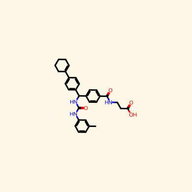 Cc1cccc(NC(=O)NC(c2ccc(C(=O)NCCC(=O)O)cc2)c2ccc(C3=CCCCC3)cc2)c1